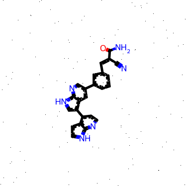 N#C/C(=C\c1cccc(-c2cnc3[nH]cc(-c4ccnc5[nH]ccc45)c3c2)c1)C(N)=O